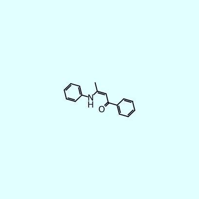 CC(=CC(=O)c1ccccc1)Nc1ccccc1